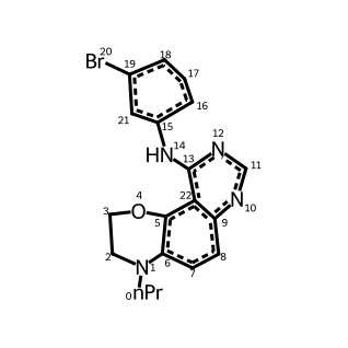 CCCN1CCOc2c1ccc1ncnc(Nc3cccc(Br)c3)c21